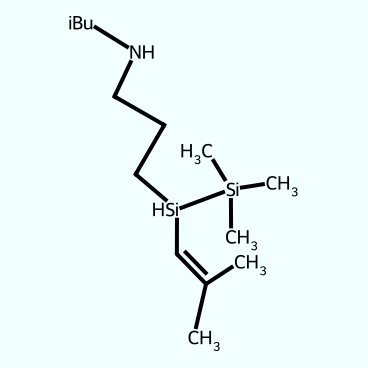 CCC(C)NCCC[SiH](C=C(C)C)[Si](C)(C)C